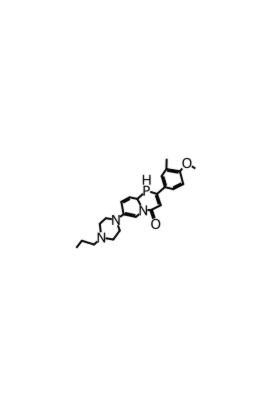 CCCN1CCN(C2=CN3C(=O)C=C(c4ccc(OC)c(C)c4)PC3C=C2)CC1